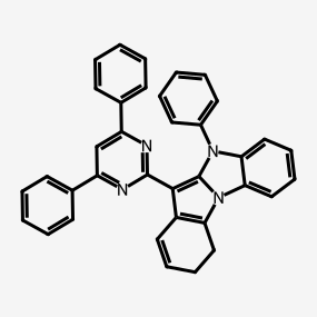 C1=Cc2c(-c3nc(-c4ccccc4)cc(-c4ccccc4)n3)c3n(-c4ccccc4)c4ccccc4n3c2CC1